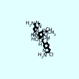 Cc1cc2c(N)ncnc2n1C1=C2OC(C)(C)O[C@]2(O)[C@@]2(CCc3cc4nc(N)c(Cl)cc4cc3F)C(O)(O)[C@@]12O